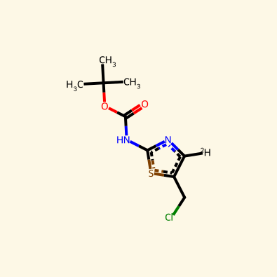 [2H]c1nc(NC(=O)OC(C)(C)C)sc1CCl